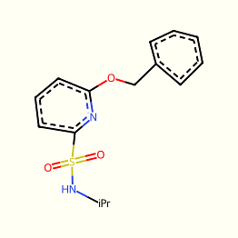 CC(C)NS(=O)(=O)c1cccc(OCc2ccccc2)n1